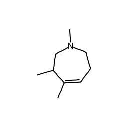 CC1=CCCN(C)CC1C